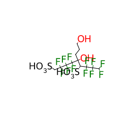 O=S(=O)(O)CC(F)(F)C(F)(F)C(F)(F)C(O)(CCCO)C(C(F)(F)C(F)(F)C(F)F)S(=O)(=O)O